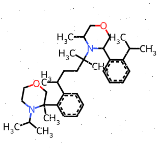 CC(C)c1ccccc1C1COCC(C)N1C(C)(C)CCC(C)c1ccccc1C1(C)COCCN1C(C)C